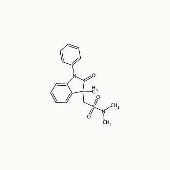 CN(C)S(=O)(=O)CC1(C)C(=O)N(c2ccccc2)c2ccccc21